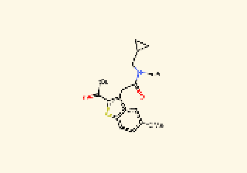 CCCN(CC1CC1)C(=O)Cc1c(C(=O)C(C)(C)C)sc2ccc(OC)cc12